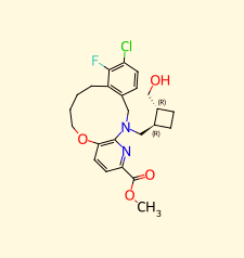 COC(=O)c1ccc2c(n1)N(C[C@@H]1CC[C@H]1CO)Cc1ccc(Cl)c(F)c1CCCCO2